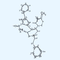 CC1CCC(C2=C(c3cc(-c4ccccc4)sc3C(=O)O)CCN(CCc3ccccc3)C2)CC1